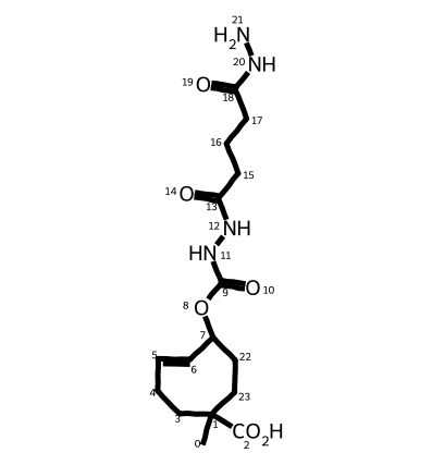 CC1(C(=O)O)CC/C=C/C(OC(=O)NNC(=O)CCCC(=O)NN)CC1